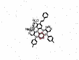 Cc1ccc(Nc2cnnnc2N(c2cc(C=Cc3ccccc3)c(S(=O)(=O)[O-])c(S(=O)(=O)[O-])c2N(c2nnncc2Nc2ccc(C)cc2)N2CCOCC2)N2CCOCC2)cc1.[Na+].[Na+]